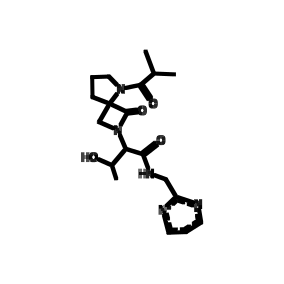 CC(C)C(=O)N1CCCC12CN(C(C(=O)NCc1ncccn1)C(C)O)C2=O